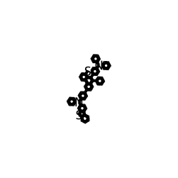 c1ccc(-c2c3c4c(cccc4c4cc(-c5ccc(N(c6ccccc6)c6ccc7c(c6)sc6ccccc67)cc5)ccc24)Sc2cc(N(c4ccccc4)c4ccccc4)ccc2-3)cc1